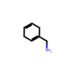 N[CH]C1=CCC=CC1